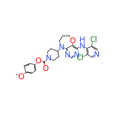 COc1ccc(OC(=O)N2CCC(N3CCCOc4c(Nc5c(Cl)cncc5Cl)ncnc43)CC2)cc1